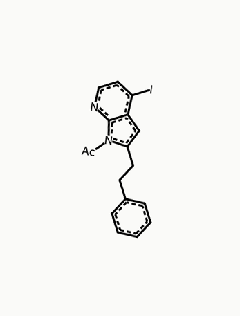 CC(=O)n1c(CCc2ccccc2)cc2c(I)ccnc21